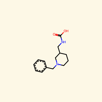 O=C(O)NCC1CCCN(Cc2ccccc2)C1